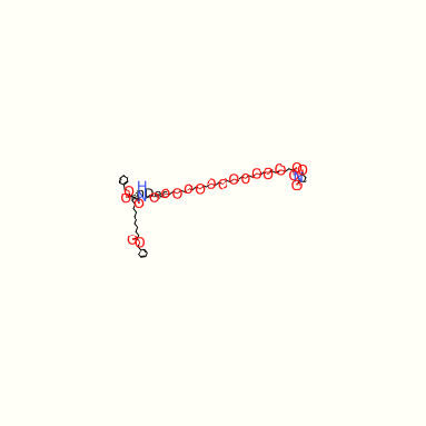 CCCCCCCCCCC[C@@](CCCCCCCCCCC(=O)OCc1ccccc1)(C(=O)NCCOCCOCCOCCOCCOCCOCCOCCOCCOCCOCCOCCOCCC(=O)ON1C(=O)CCC1=O)C(=O)OCc1ccccc1